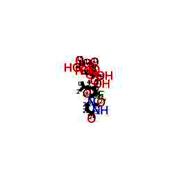 CC(C)[C@]1(COP(=O)(O)OP(=O)(O)OP(=O)(O)O)O[C@@H](n2ccc(=O)[nH]c2=O)[C@@H](F)[C@@H]1O